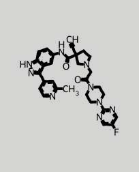 C#CC1(C(=O)Nc2ccc3[nH]nc(-c4ccnc(C)c4)c3c2)CCN(CC(=O)N2CCN(c3ncc(F)cn3)CC2)C1